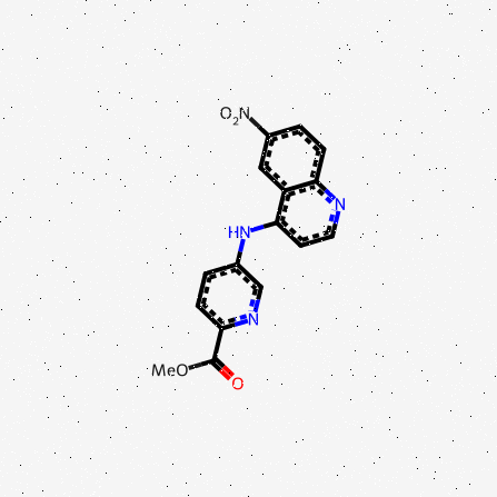 COC(=O)c1ccc(Nc2ccnc3ccc([N+](=O)[O-])cc23)cn1